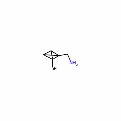 CCCC12C3C1C32CN